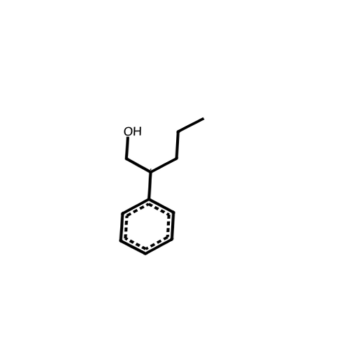 CCC[C](CO)c1ccccc1